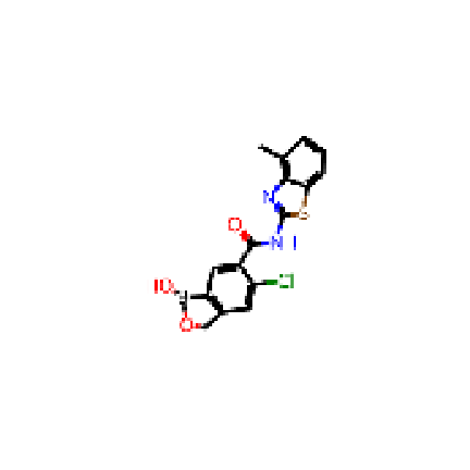 Cc1cccc2sc(NC(=O)c3cc4c(cc3Cl)COB4O)nc12